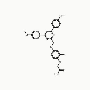 COc1ccc(-c2cc(-c3ccc(OC)cc3)nc(COc3ccc(OCC(=O)O)c(C)c3)n2)cc1